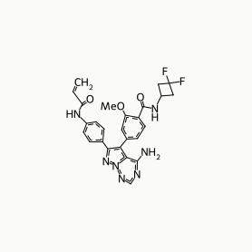 C=CC(=O)Nc1ccc(-c2nn3ncnc(N)c3c2-c2ccc(C(=O)NC3CC(F)(F)C3)c(OC)c2)cc1